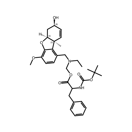 CCN(COC(=O)C(Cc1ccccc1)NC(=O)OC(C)(C)C)Cc1ccc(OC)c2c1[C@]1(C)C=C[C@H](O)C[C@@H]1O2